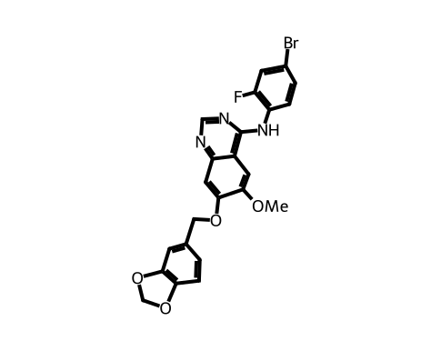 COc1cc2c(Nc3ccc(Br)cc3F)ncnc2cc1OCc1ccc2c(c1)OCO2